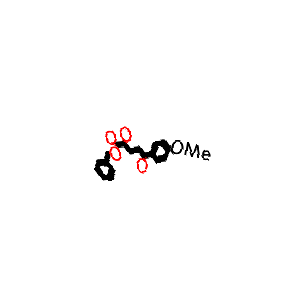 COc1ccc(C(=O)CCC(=O)C(=O)OCc2ccccc2)cc1